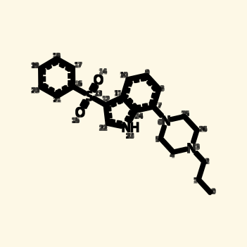 CCCN1CCN(c2cccc3c(S(=O)(=O)c4ccccc4)c[nH]c23)CC1